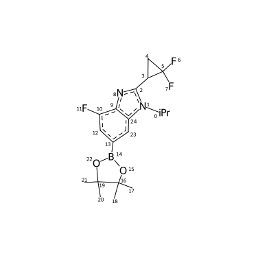 CC(C)n1c(C2CC2(F)F)nc2c(F)cc(B3OC(C)(C)C(C)(C)O3)cc21